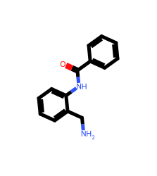 NCc1ccccc1NC(=O)c1ccccc1